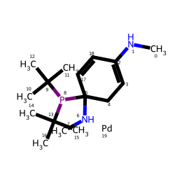 CNC1=CCC(NC)(P(C(C)(C)C)C(C)(C)C)C=C1.[Pd]